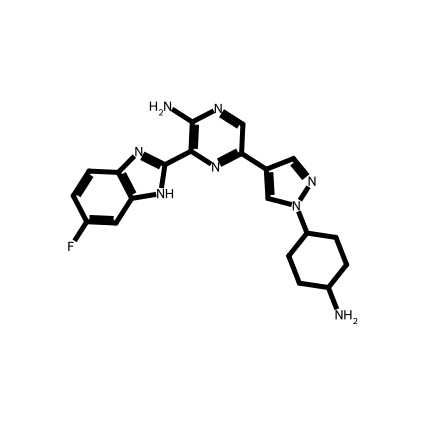 Nc1ncc(-c2cnn(C3CCC(N)CC3)c2)nc1-c1nc2ccc(F)cc2[nH]1